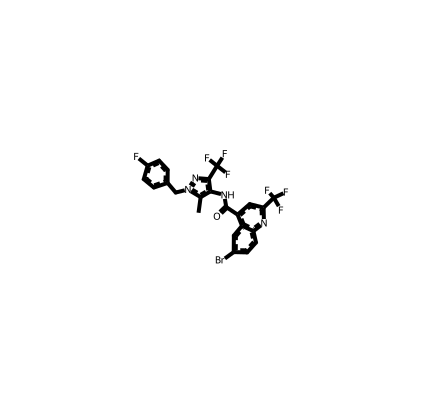 Cc1c(NC(=O)c2cc(C(F)(F)F)nc3ccc(Br)cc23)c(C(F)(F)F)nn1Cc1ccc(F)cc1